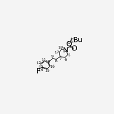 CC(C)(C)OC(=O)N1CCC(CCc2ccc(F)cc2)CC1